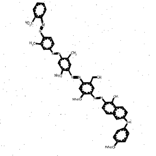 COc1ccc(Nc2ccc3c(O)c(N=Nc4cc(CO)c(N=Nc5cc(C)c(N=Nc6ccc(N=Nc7ccccc7S(=O)(=O)O)c(C)c6)cc5OC)cc4OC)ccc3c2)cc1